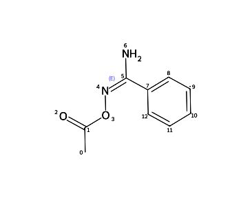 CC(=O)O/N=C(/N)c1c[c]ccc1